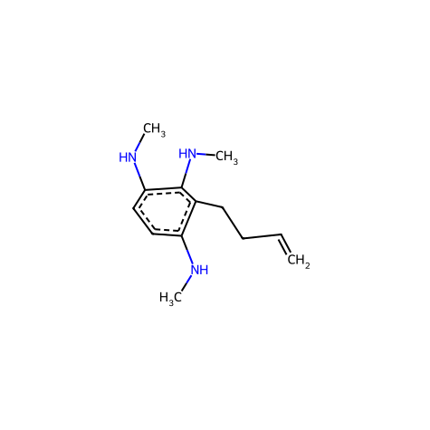 C=CCCc1c(NC)ccc(NC)c1NC